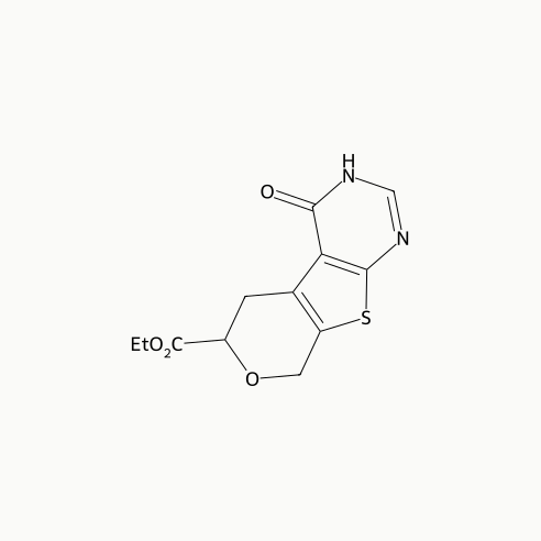 CCOC(=O)C1Cc2c(sc3nc[nH]c(=O)c23)CO1